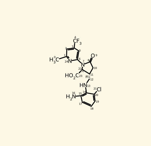 Cc1cc(C(F)(F)F)cc(N2C(=O)C[C@H](CNc3c(N)cccc3Cl)[C@H]2C(=O)O)n1